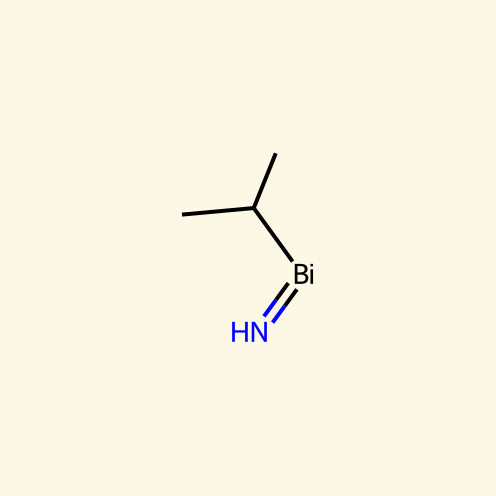 C[CH](C)[Bi]=[NH]